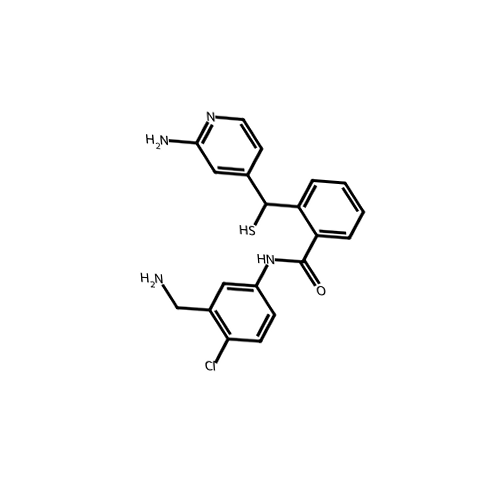 NCc1cc(NC(=O)c2ccccc2C(S)c2ccnc(N)c2)ccc1Cl